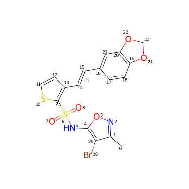 Cc1noc(NS(=O)(=O)c2sccc2/C=C/c2ccc3c(c2)OCO3)c1Br